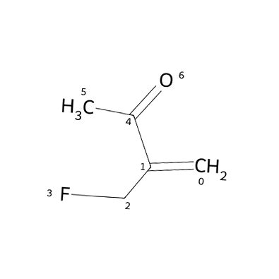 C=C(CF)C(C)=O